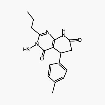 CCCc1nc2c(c(=O)n1S)C(c1ccc(C)cc1)CC(=O)N2